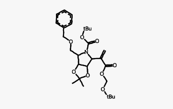 C=C(C(=O)OCOC(C)(C)C)C1C2OC(C)(C)OC2C(COCc2ccccc2)N1C(=O)OC(C)(C)C